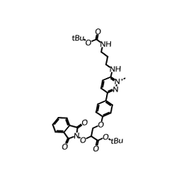 C[n+]1nc(-c2ccc(OCC(ON3C(=O)c4ccccc4C3=O)C(=O)OC(C)(C)C)cc2)ccc1NCCCNC(=O)OC(C)(C)C